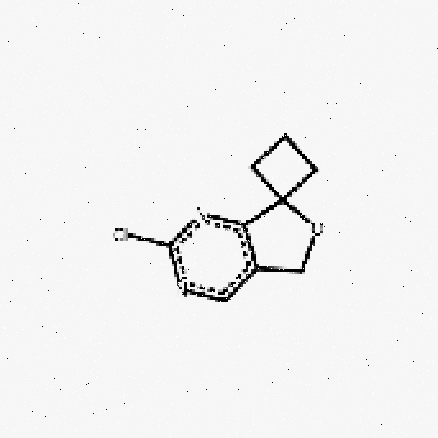 Clc1ncc2c(n1)C1(CCC1)OC2